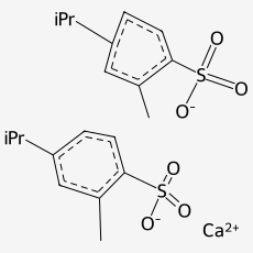 Cc1cc(C(C)C)ccc1S(=O)(=O)[O-].Cc1cc(C(C)C)ccc1S(=O)(=O)[O-].[Ca+2]